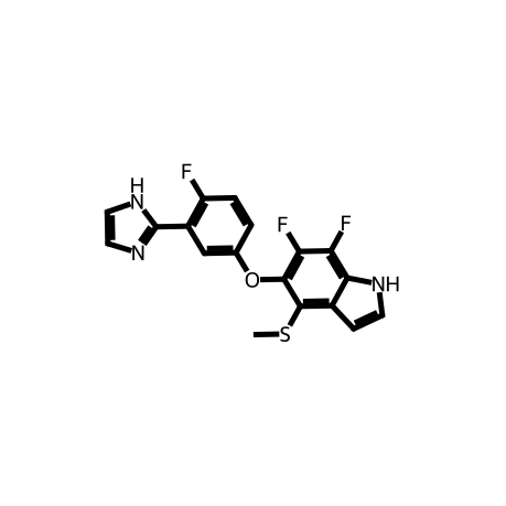 CSc1c(Oc2ccc(F)c(-c3ncc[nH]3)c2)c(F)c(F)c2[nH]ccc12